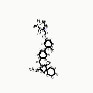 C=NN/C(COc1ccc(F)c(-c2ccc(CN3C(=O)C4(CCCCC4)N=C3CCCC)cc2)c1)=N\N